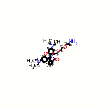 CCN(CC)c1ccc2c(c1)Oc1cc(N(CC)CC)ccc1C21c2ccccc2C(=O)N1CCOCCOCCN